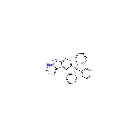 c1ccc([Si](c2ccccc2)(c2ccccc2)c2ccc3[nH]c4ncccc4c3c2)cc1